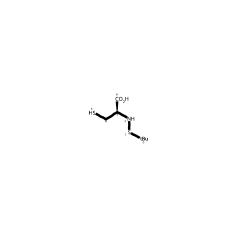 CC(C)(C)SN[C@@H](CS)C(=O)O